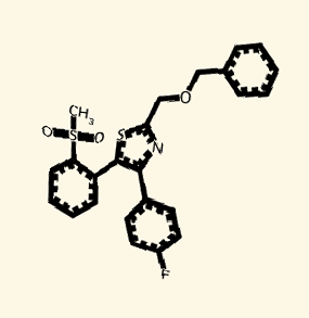 CS(=O)(=O)c1ccccc1-c1sc(COCc2ccccc2)nc1-c1ccc(F)cc1